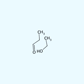 CCC=O.CCO